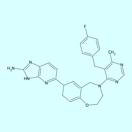 Cc1ncnc(N2CCOC3=CCC(c4ccc5nc(N)[nH]c5n4)C=C3C2)c1Cc1ccc(F)cc1